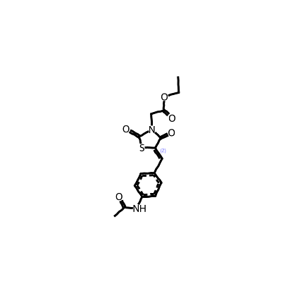 CCOC(=O)CN1C(=O)S/C(=C\c2ccc(NC(C)=O)cc2)C1=O